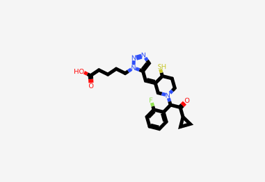 O=C(O)CCCCn1nncc1C=C1CN(C(C(=O)C2CC2)c2ccccc2F)CCC1S